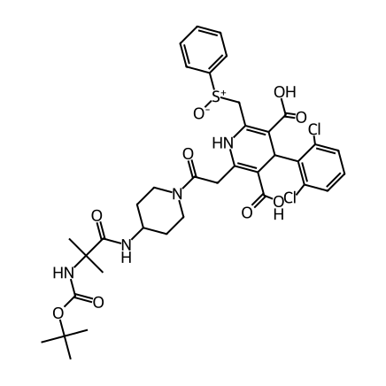 CC(C)(C)OC(=O)NC(C)(C)C(=O)NC1CCN(C(=O)CC2=C(C(=O)O)C(c3c(Cl)cccc3Cl)C(C(=O)O)=C(C[S+]([O-])c3ccccc3)N2)CC1